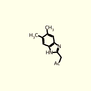 CC(=O)Cc1nc2cc(C)c(C)cc2[nH]1